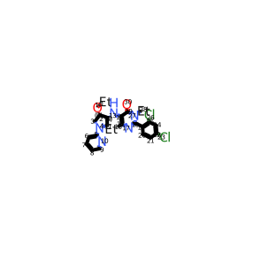 CCO[C@@H]1CN(c2ccccn2)C[C@H]1Nc1c(CC)nc(-c2ccc(Cl)cc2Cl)n(CC)c1=O